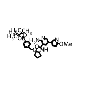 COc1ccc(-c2cnc(N)c(C(=O)N[C@H]3CCC[C@@H]3OCc3ccc(B4OC(C)(C)C(C)(C)O4)cc3)c2)cn1